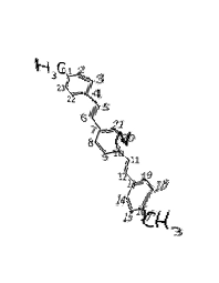 Cc1ccc(/C=C/c2ccc(/C=C/c3ccc(C)cc3)nc2)cc1